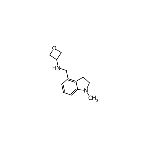 CN1CCc2c(CNC3COC3)cccc21